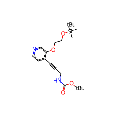 CC(C)(C)OC(=O)NCC#Cc1ccncc1OCCO[Si](C)(C)C(C)(C)C